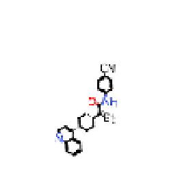 CC[C@@H](C(=O)Nc1ccc(C#N)cc1)[C@H]1CC[C@@H](c2ccnc3ccccc32)CC1